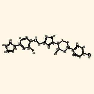 CCc1cnc(N2CCC(c3nc(COc4ccc(-n5cnnn5)cc4F)cs3)C(C)C2)nc1